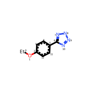 CCOc1ccc(C2=N[N]N=N2)cc1